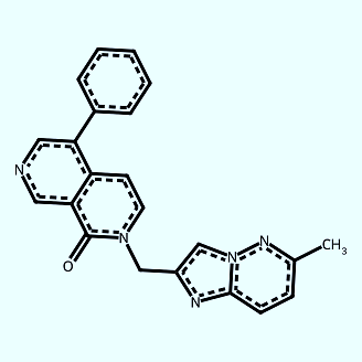 Cc1ccc2nc(Cn3ccc4c(-c5ccccc5)cncc4c3=O)cn2n1